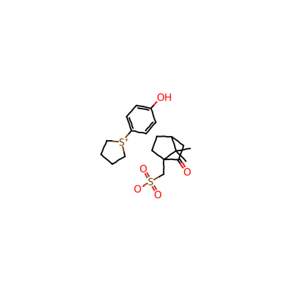 CC1(C)C2CCC1(CS(=O)(=O)[O-])C(=O)C2.Oc1ccc([S+]2CCCC2)cc1